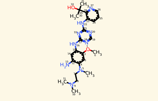 COc1cc(N(C)CCN(C)C)c(N)cc1Nc1ncnc(Nc2cccnc2C(C)(C)O)n1